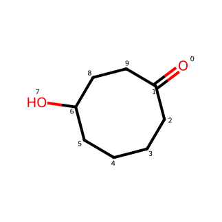 O=C1CCCCC(O)CC1